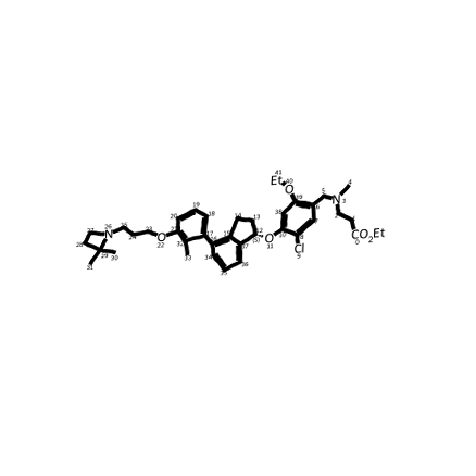 CCOC(=O)CCN(C)Cc1cc(Cl)c(O[C@H]2CCc3c(-c4cccc(OCCCN5CCC5(C)C)c4C)cccc32)cc1OCC